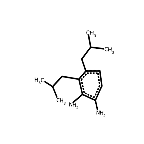 CC(C)Cc1ccc(N)c(N)c1CC(C)C